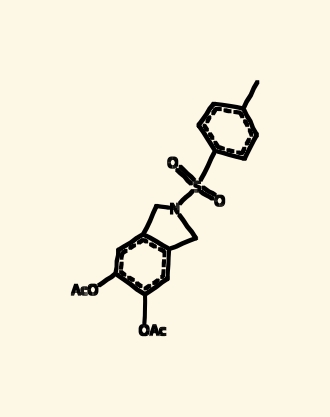 CC(=O)Oc1cc2c(cc1OC(C)=O)CN(S(=O)(=O)c1ccc(C)cc1)C2